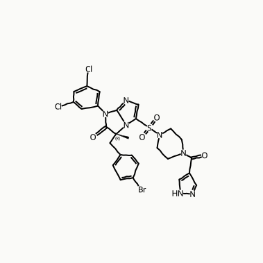 C[C@@]1(Cc2ccc(Br)cc2)C(=O)N(c2cc(Cl)cc(Cl)c2)c2ncc(S(=O)(=O)N3CCN(C(=O)c4cn[nH]c4)CC3)n21